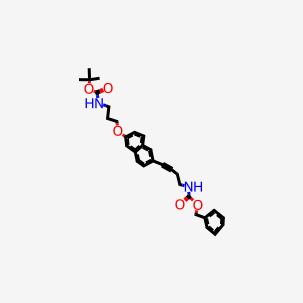 CC(C)(C)OC(=O)NCCCOc1ccc2cc(C#CCCNC(=O)OCc3ccccc3)ccc2c1